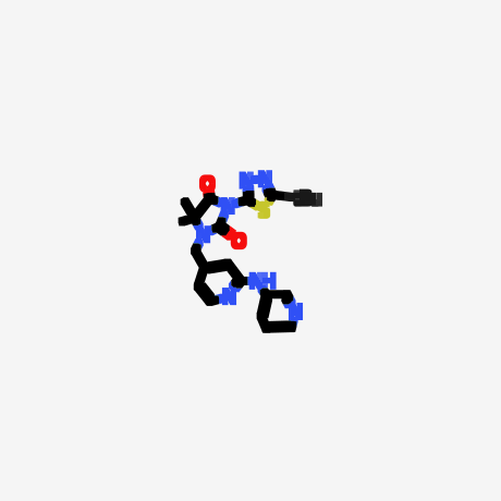 CC(C)(C)c1nnc(N2C(=O)N(Cc3ccnc(Nc4cccnc4)c3)C(C)(C)C2=O)s1